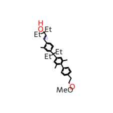 CCC(O)(/C=C/c1ccc(C(CC)(CC)c2cc(C)c(-c3ccc(CCOOC)cc3)c(C)c2)cc1C)CC